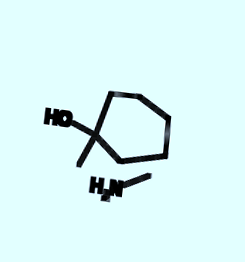 CC1(O)CCCCC1.CN